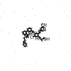 CC(CO)NCc1cc(Cl)c(OCc2cccc(-c3cccc4c3cnn4CCCN3CCCC3)c2Br)cc1COc1cncc(C#N)c1